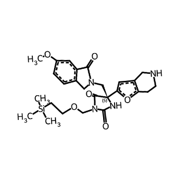 COc1ccc2c(c1)C(=O)N(C[C@@]1(c3cc4c(o3)CCNC4)NC(=O)N(COCC[Si](C)(C)C)C1=O)C2